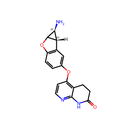 N[C@@H]1C2Oc3ccc(Oc4ccnc5c4CCC(=O)N5)cc3[C@H]21